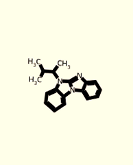 CC(C)C(C)n1c2ccccc2n2c3ccccc3nc12